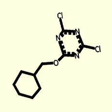 Clc1nc(Cl)nc(OCC2CCCCC2)n1